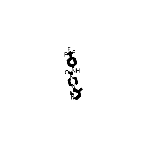 Cc1ccnnc1N1CCN(C(=O)Nc2ccc(C(F)(F)F)cc2)CC1